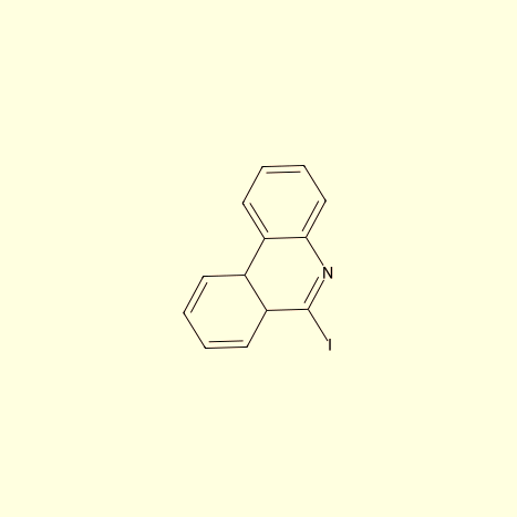 IC1=Nc2ccccc2C2C=CC=CC12